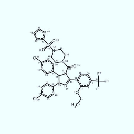 CCOc1cc(C(F)(F)F)ccc1C1=NC(c2ccc(Cl)cc2)C(c2ccc(Cl)cc2)N1C(=O)N1CCN(S(=O)(=O)c2cccs2)CC1